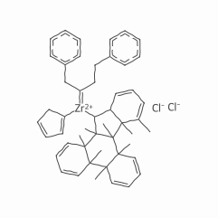 CC1=CC=CC2[CH](/[Zr+2]([C]3=CC=CC3)=[C](\CCc3ccccc3)Cc3ccccc3)C3(C)C4(C)C=CC=CC4(C)C4(C)C=CC=CC4(C)C3(C)C12C.[Cl-].[Cl-]